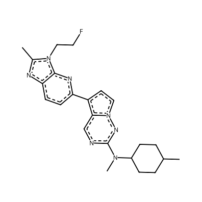 Cc1nc2ccc(-c3ccn4nc(N(C)C5CCC(C)CC5)ncc34)nc2n1CCF